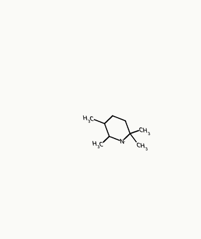 CC1CCC(C)(C)[N]C1C